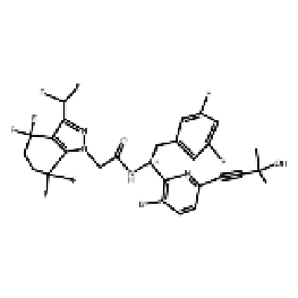 CC(C)(O)C#Cc1ccc(Br)c([C@H](Cc2cc(F)cc(F)c2)NC(=O)Cn2nc(C(F)F)c3c2C(F)(F)CCC3(F)F)n1